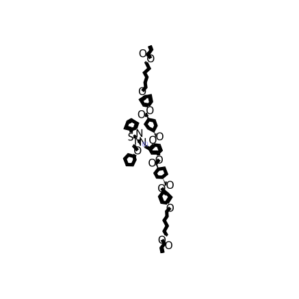 C=CC(=O)OCCCCCCOc1ccc(OC(=O)[C@H]2CC[C@H](C(=O)Oc3ccc(OC(=O)[C@H]4CC[C@H](C(=O)Oc5ccc(OCCCCCCOC(=O)C=C)cc5)CC4)c(/C=N/N(COC4CCCCC4)c4nc5ccccc5s4)c3)CC2)cc1